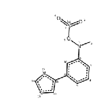 CN(O[SH](=O)=O)c1cccc(-c2cs[c]n2)c1